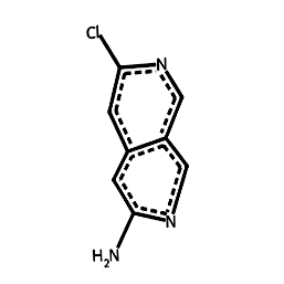 Nc1cc2cc(Cl)ncc2cn1